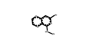 CC(C)Nc1nc(C(C)C)cc2nccnc12